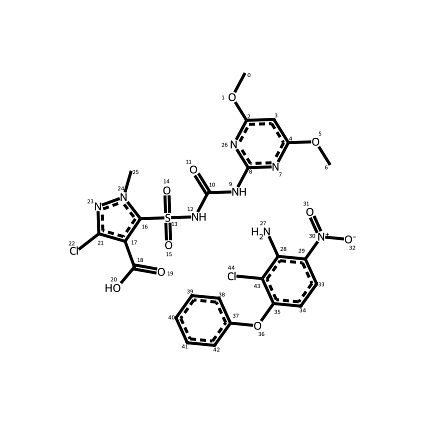 COc1cc(OC)nc(NC(=O)NS(=O)(=O)c2c(C(=O)O)c(Cl)nn2C)n1.Nc1c([N+](=O)[O-])ccc(Oc2ccccc2)c1Cl